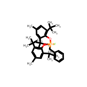 Cc1cc(C(C)(C)C)c(O[PH](F)(Cc2ccccc2)Oc2c(C(C)(C)C)cc(C)cc2C(C)(C)C)c(C(C)(C)C)c1